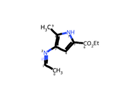 C/C=N\c1cc(C(=O)OCC)[nH]c1C